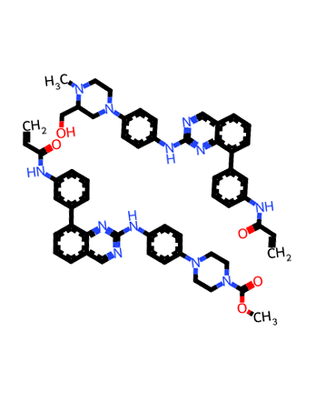 C=CC(=O)Nc1cccc(-c2cccc3cnc(Nc4ccc(N5CCN(C(=O)OC)CC5)cc4)nc23)c1.C=CC(=O)Nc1cccc(-c2cccc3cnc(Nc4ccc(N5CCN(C)C(CO)C5)cc4)nc23)c1